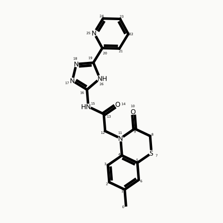 Cc1ccc2c(c1)SCC(=O)N2CC(=O)Nc1nnc(-c2ccccn2)[nH]1